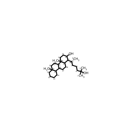 C[C@H](CCCC(C)(C)O)C1C(O)CCC2(C)C3CCC4(C)CCCCC4C3CCC12